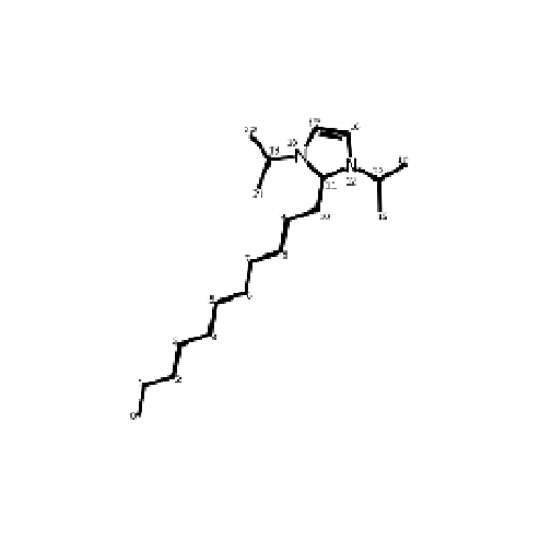 CCCCCCCCCCCC1N(C(C)C)C=CN1C(C)C